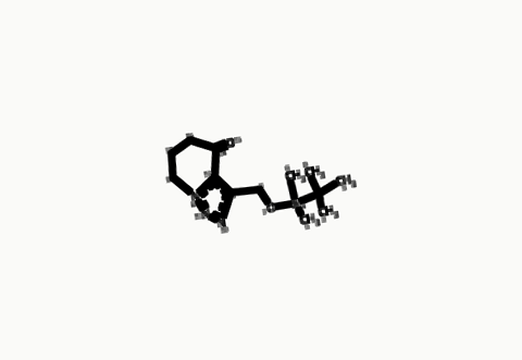 CC(C)(C)[Si](C)(C)OCc1nnn2c1C(=O)CCC2